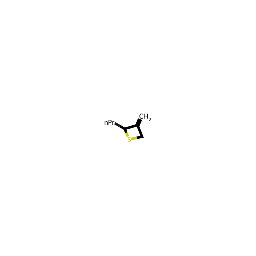 C=C1CSC1CCC